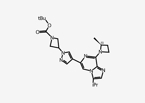 CC(C)c1cnc2c(N3CC[C@@H]3C)nc(-c3cnn(C4CN(C(=O)OC(C)(C)C)C4)c3)cn12